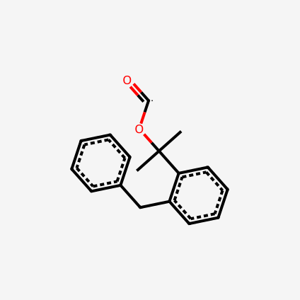 CC(C)(O[C]=O)c1ccccc1Cc1ccccc1